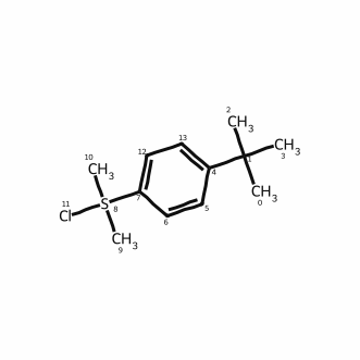 CC(C)(C)c1ccc(S(C)(C)Cl)cc1